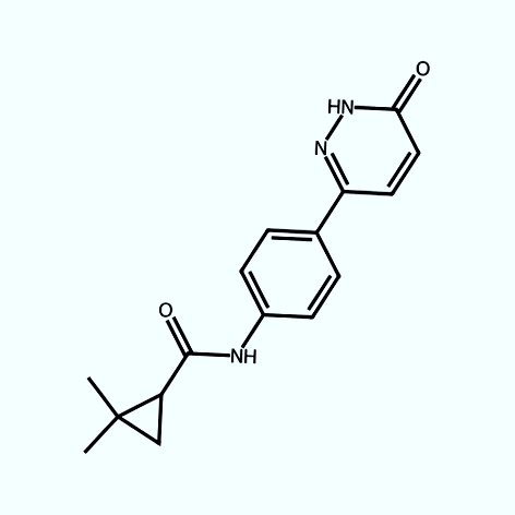 CC1(C)CC1C(=O)Nc1ccc(-c2ccc(=O)[nH]n2)cc1